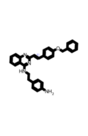 Nc1ccc(CCNc2nc(/C=C/c3ccc(OCc4ccccc4)cc3)nc3ccccc23)cc1